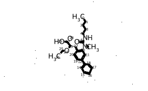 CCCCCNC(=O)N(C)c1cc(-c2ccccc2)ccc1C[C@H](OCC)C(=O)O